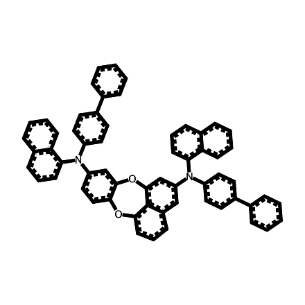 c1ccc(-c2ccc(N(c3ccc4c(c3)Oc3cc(N(c5ccc(-c6ccccc6)cc5)c5cccc6ccccc56)cc5cccc(c35)O4)c3cccc4ccccc34)cc2)cc1